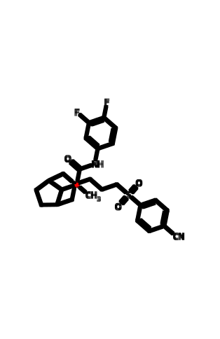 CN(C(=O)Nc1ccc(F)c(F)c1)C1C2CCC1CN(CCCS(=O)(=O)c1ccc(C#N)cc1)C2